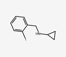 Ic1ccccc1CNC1CC1